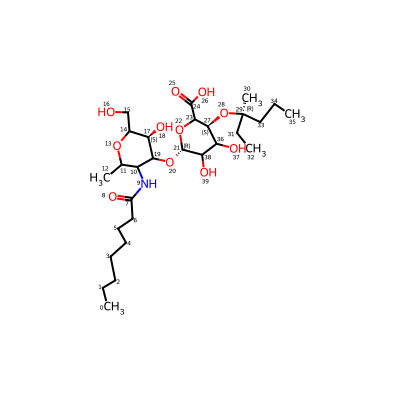 CCCCCCCC(=O)NC1C(C)OC(CO)[C@@H](O)C1O[C@@H]1OC(C(=O)O)[C@@H](O[C@](C)(CC)CCC)C(O)C1O